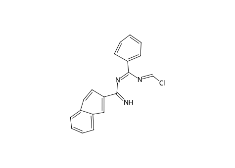 N=C(/N=C(\N=C\Cl)c1ccccc1)c1ccc2ccccc2c1